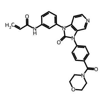 C=CC(=O)Nc1cccc(-n2c(=O)n(-c3ccc(C(=O)N4CCOCC4)cc3)c3cnccc32)c1